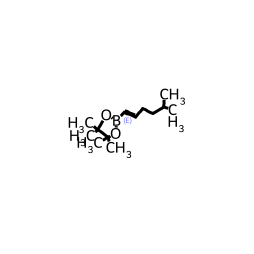 CC(C)CC/C=C/B1OC(C)(C)C(C)(C)O1